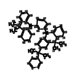 CC(C)(c1ccccc1)c1ccc2c(c1)C(C)(C)c1ccccc1N2c1cccc(N2c3ccccc3C(C)(C)c3ccccc32)c1